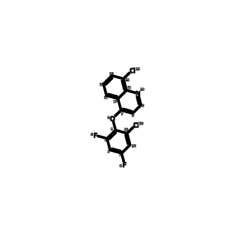 Fc1cc(F)c(Oc2ccnc3c(Cl)cccc23)c(Cl)c1